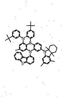 Cc1cc2c3c(c1)N(c1cccc4sc5ccccc5c14)c1cc(N4c5cc(C)cc(C)c5C5(C)CCCCC45C)ccc1B3c1ccc(C(C)(C)C)cc1N2c1cccc(C(C)(C)C)c1